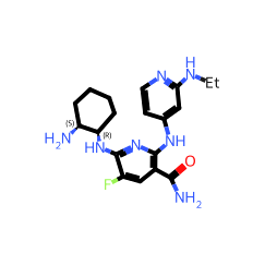 CCNc1cc(Nc2nc(N[C@@H]3CCCC[C@@H]3N)c(F)cc2C(N)=O)ccn1